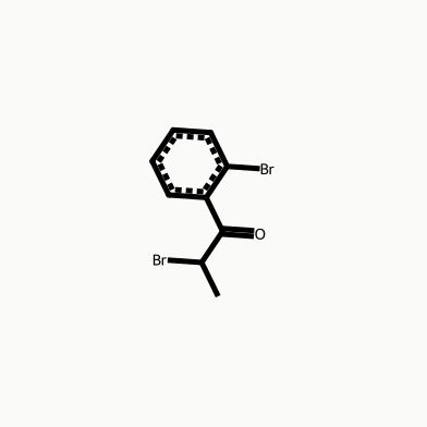 CC(Br)C(=O)c1ccccc1Br